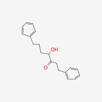 O=C(CCc1ccccc1)C(O)CCCc1ccccc1